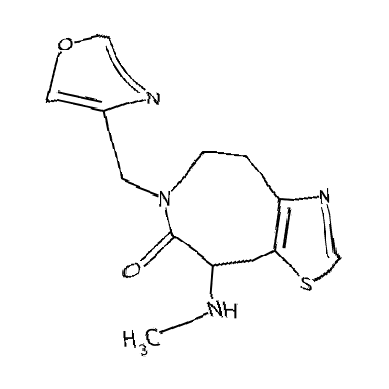 CNC1C(=O)N(Cc2cocn2)CCc2ncsc21